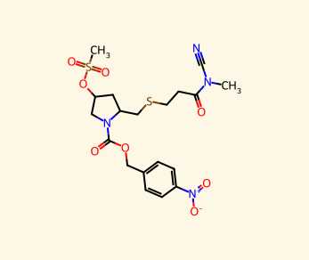 CN(C#N)C(=O)CCSCC1CC(OS(C)(=O)=O)CN1C(=O)OCc1ccc([N+](=O)[O-])cc1